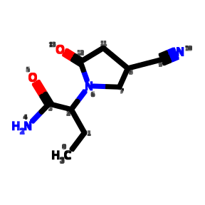 CCC(C(N)=O)N1CC(C#N)CC1=O